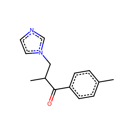 Cc1ccc(C(=O)C(C)Cn2ccnc2)cc1